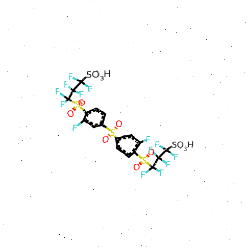 O=S(=O)(c1ccc(S(=O)(=O)C(F)(F)C(F)(F)C(F)(F)S(=O)(=O)O)c(F)c1)c1ccc(S(=O)(=O)C(F)(F)C(F)(F)C(F)(F)S(=O)(=O)O)c(F)c1